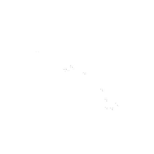 C=C1OCc2c1ccc(C(CN1CCN(C(=O)Cc3ccc(-n4cnnn4)nc3)CC1)OC)c2C